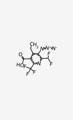 CCc1c(N=[N+]=[N-])c(C(F)F)nc(C(F)(F)F)c1C(=O)O